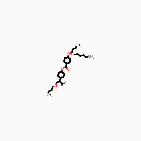 CCCCCC[C@@H](CCC)Oc1ccc(C(=O)Oc2ccc(C(COCCCC)C(F)F)cc2)cc1